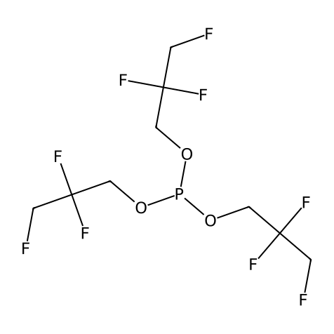 FCC(F)(F)COP(OCC(F)(F)CF)OCC(F)(F)CF